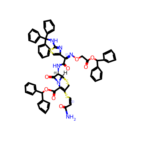 NC(=O)/C=C\SC1=C(C(=O)OC(c2ccccc2)c2ccccc2)N2C(=O)[C@@H](NC(=O)/C(=N\OCC(=O)OC(c3ccccc3)c3ccccc3)c3csc(NC(c4ccccc4)(c4ccccc4)c4ccccc4)n3)[C@H]2SC1